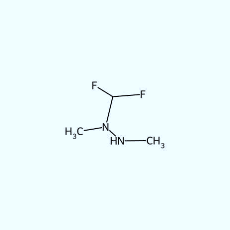 CNN(C)C(F)F